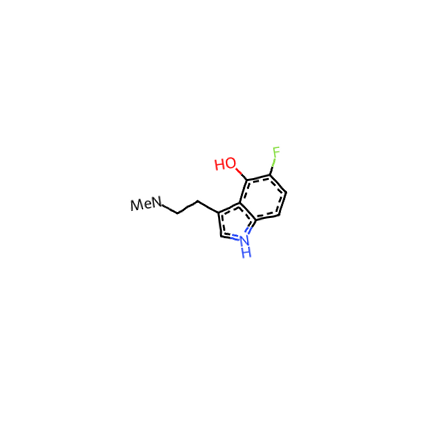 CNCCc1c[nH]c2ccc(F)c(O)c12